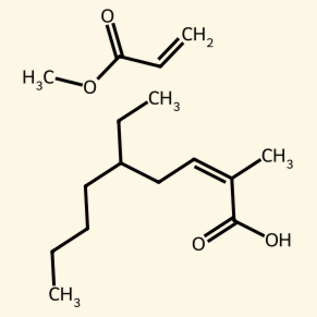 C=CC(=O)OC.CCCCC(CC)CC=C(C)C(=O)O